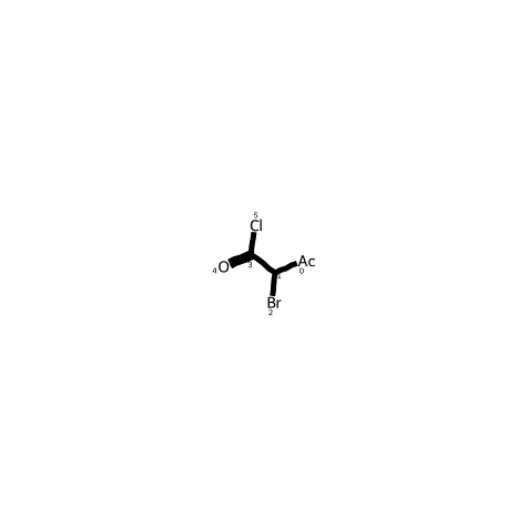 CC(=O)C(Br)C(=O)Cl